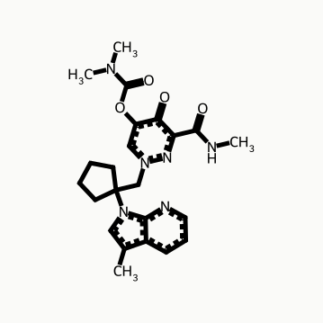 CNC(=O)c1nn(CC2(n3cc(C)c4cccnc43)CCCC2)cc(OC(=O)N(C)C)c1=O